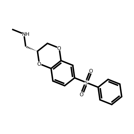 CNC[C@@H]1COc2cc(S(=O)(=O)c3ccccc3)ccc2O1